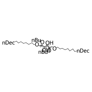 CCCCCCCCCCCCCCCCCCOC[C@@H](OCCCC)[C@@H](O)[C@H](O)[C@@H](COCCCCCCCCCCCCCCCCCC)OCCCC